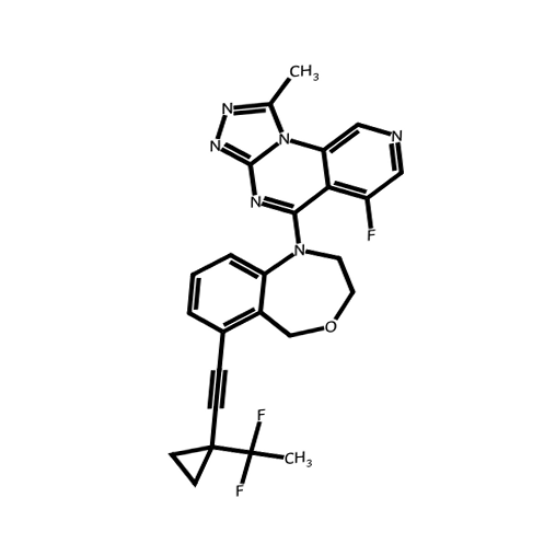 Cc1nnc2nc(N3CCOCc4c(C#CC5(C(C)(F)F)CC5)cccc43)c3c(F)cncc3n12